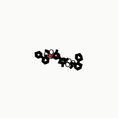 CCC(O)(Oc1ccccc1-c1ccccc1)Oc1c(C)cc(-c2cc(C)c(OC(O)(CC)Oc3ccccc3-c3ccccc3)c(C)c2)cc1C